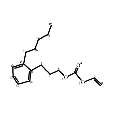 C=COC(=O)OCCCc1ccccc1CCCCC